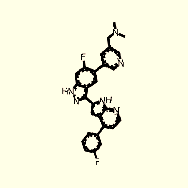 CN(C)Cc1cncc(-c2cc3c(-c4cc5c(-c6cccc(F)c6)ccnc5[nH]4)n[nH]c3cc2F)c1